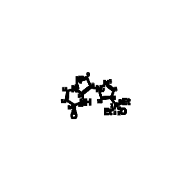 CCP(=O)(CC)c1cnn(-c2cnn3ccc(=O)[nH]c23)c1